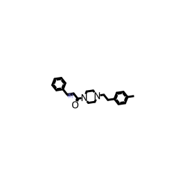 Cc1ccc(CCN2CCN(C(=O)/C=C/c3ccccc3)CC2)cc1